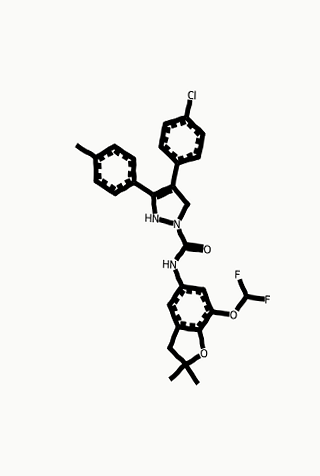 Cc1ccc(C2=C(c3ccc(Cl)cc3)CN(C(=O)Nc3cc4c(c(OC(F)F)c3)OC(C)(C)C4)N2)cc1